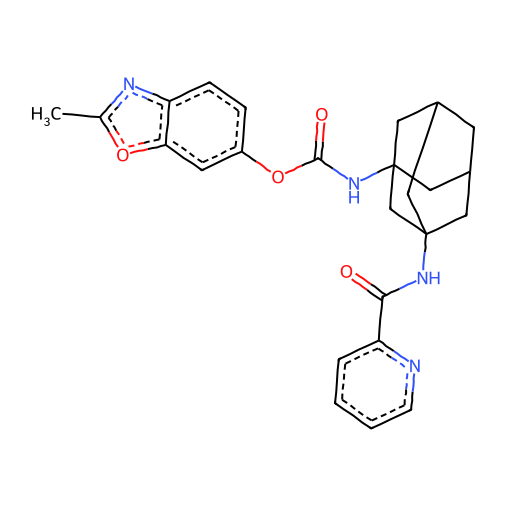 Cc1nc2ccc(OC(=O)NC34CC5CC(C3)CC(NC(=O)c3ccccn3)(C5)C4)cc2o1